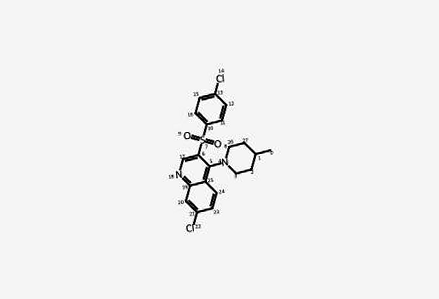 CC1CCN(c2c(S(=O)(=O)c3ccc(Cl)cc3)cnc3cc(Cl)ccc23)CC1